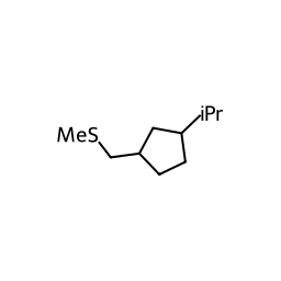 CSCC1CCC(C(C)C)C1